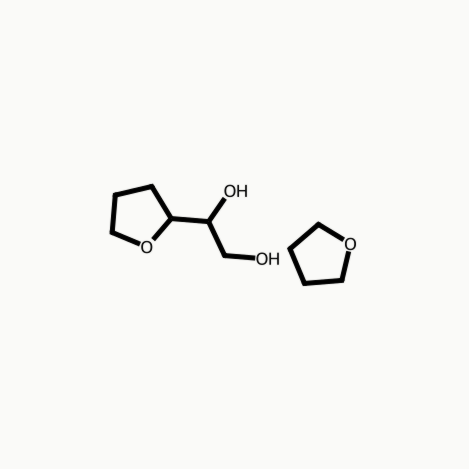 C1CCOC1.OCC(O)C1CCCO1